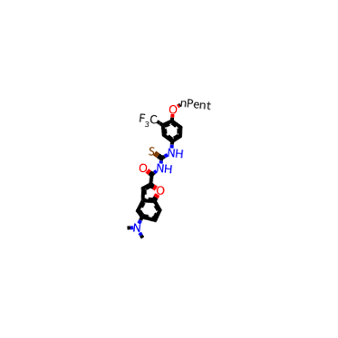 CCCCCOc1ccc(NC(=S)NC(=O)c2cc3cc(N(C)C)ccc3o2)cc1C(F)(F)F